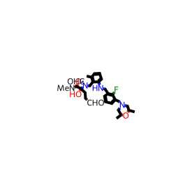 CNC(=O)C(O)(CCC=O)N(C=O)Cc1c(C)cccc1NCc1cccc(CN2CC(C)OC(C)C2)c1F